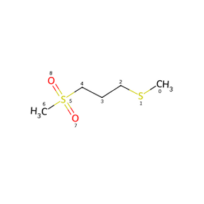 CSCCCS(C)(=O)=O